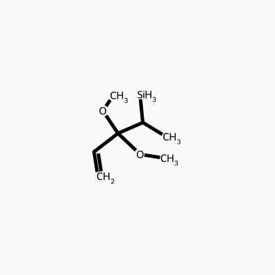 C=CC(OC)(OC)C(C)[SiH3]